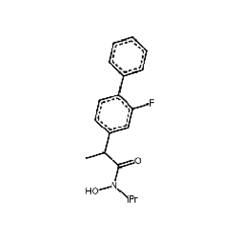 CC(C(=O)N(O)C(C)C)c1ccc(-c2ccccc2)c(F)c1